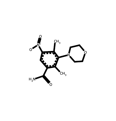 Cc1c(C(N)=O)cc([N+](=O)[O-])c(C)c1N1CCOCC1